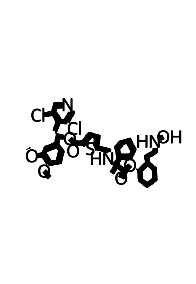 COc1ccc([C@H](Cc2c(Cl)cncc2Cl)OC(=O)c2ccc(CNC(C)(C(=O)O[C@H]3CCCCC3CCNO)c3ccccc3)s2)cc1OC